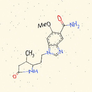 COc1cc2c(cc1C(N)=O)ncn2CCC1NC(=O)CC1C